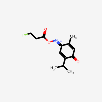 CC1=CC(=O)C(C(C)C)=C/C1=N\OC(=O)CCF